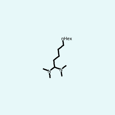 CCCCCCCCCCC(N(C)C)N(C)C